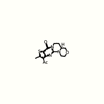 CC(=O)c1c(C)sc2c(=O)n3c(nc12)N1CCOC[C@@H]1CC3